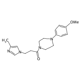 COc1ccc(N2CCN(C(=O)CCn3cnc(C)c3)CC2)cc1